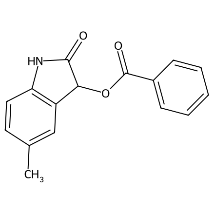 Cc1ccc2c(c1)C(OC(=O)c1ccccc1)C(=O)N2